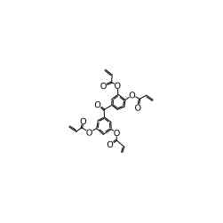 C=CC(=O)Oc1cc(OC(=O)C=C)cc(C(=O)c2ccc(OC(=O)C=C)c(OC(=O)C=C)c2)c1